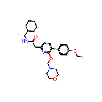 CCOc1ccc(-c2ccc(CC(=O)N[C@H](C)C3CCCCC3)nc2OCN2CCOCC2)cc1